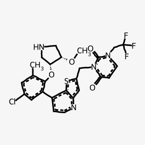 CO[C@H]1CNC[C@H]1Oc1c(C)cc(Cl)cc1-c1ccnc2cc(Cn3c(=O)ccn(CC(F)(F)F)c3=O)sc12